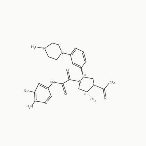 CCc1cc(NC(=O)C(=O)N2C[C@@H](C)N(C(=O)C(C)(C)C)C[C@@H]2c2cccc(N3CCN(C)CC3)c2)cnc1N